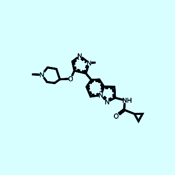 CN1CCC(Oc2cnn(C)c2-c2ccn3nc(NC(=O)C4CC4)cc3c2)CC1